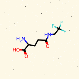 NC(CCC(=O)NCC(F)(F)F)C(=O)O